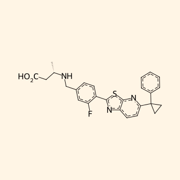 C[C@@H](CC(=O)O)NCc1ccc(-c2nc3ccc(C4(c5ccccc5)CC4)nc3s2)c(F)c1